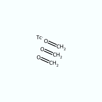 C=O.C=O.C=O.[Tc]